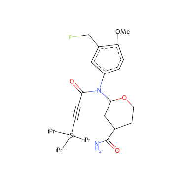 COc1ccc(N(C(=O)C#C[Si](C(C)C)(C(C)C)C(C)C)C2CC(C(N)=O)CCO2)cc1CF